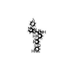 CN1CCN(c2nccc3[nH]c(-c4n[nH]c5ccc(-c6cncc(OC7CCNCC7)c6)nc45)nc23)CC1